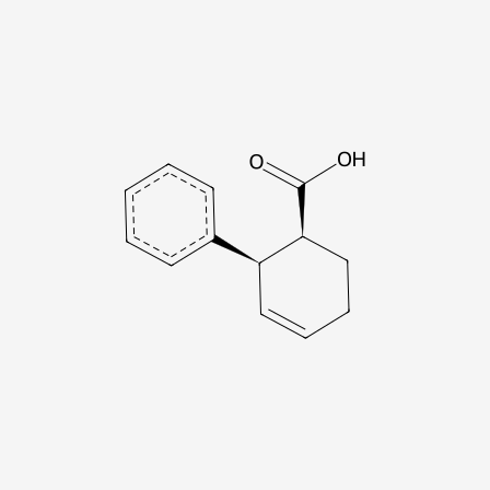 O=C(O)[C@H]1CCC=C[C@H]1c1ccccc1